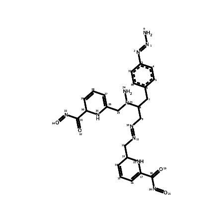 NN=Nc1ccc(CC(CN=NCC2C=CC=C(C(=O)N=O)N2)N(N)CC2=CC=CC(C(=O)N=O)N2)cc1